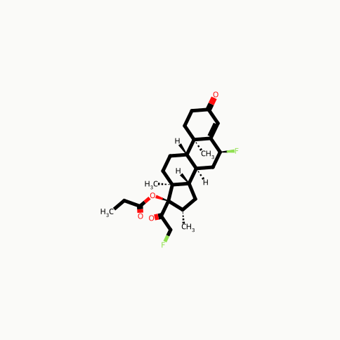 CCC(=O)O[C@]1(C(=O)CF)[C@@H](C)C[C@H]2[C@@H]3C[C@H](F)C4=CC(=O)CC[C@]4(C)[C@H]3CC[C@@]21C